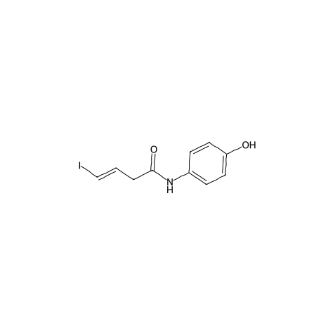 O=C(CC=CI)Nc1ccc(O)cc1